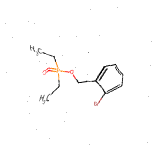 CCP(=O)(CC)OCc1ccccc1Br